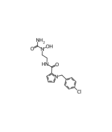 NC(=O)N(O)CCNC(=O)c1cccn1Cc1ccc(Cl)cc1